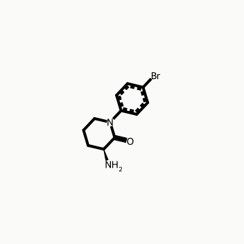 N[C@H]1CCCN(c2ccc(Br)cc2)C1=O